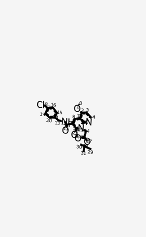 COc1ccnc2c1cc(C(=O)NCc1ccc(Cl)cc1)c(=O)n2CC(=O)OC(C)(C)C